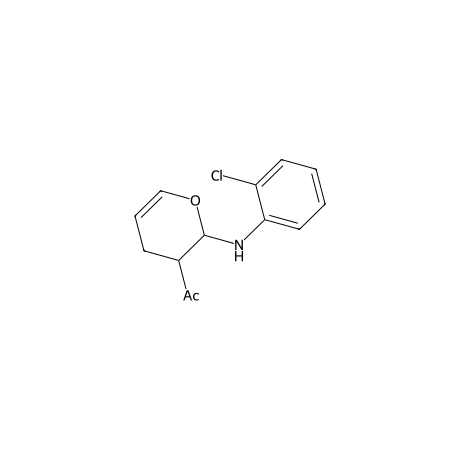 CC(=O)C1CC=COC1Nc1ccccc1Cl